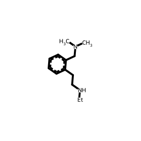 CCNCCc1ccccc1CN(C)C